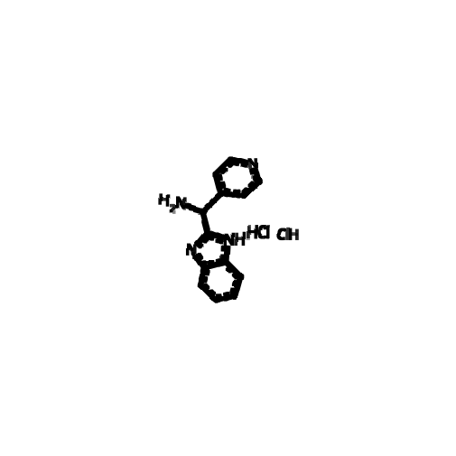 Cl.Cl.NC(c1ccncc1)c1nc2ccccc2[nH]1